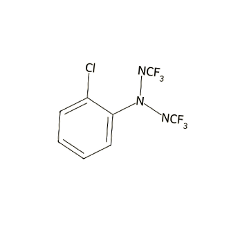 FC(F)(F)NN(NC(F)(F)F)c1ccccc1Cl